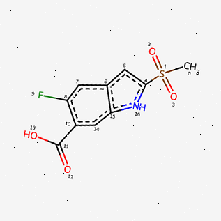 CS(=O)(=O)c1cc2cc(F)c(C(=O)O)cc2[nH]1